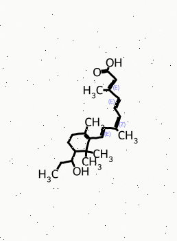 CCC(O)C1CCC(C)=C(/C=C/C(C)=C\C=C\C(C)=C\C(=O)O)C1(C)C